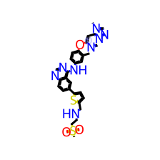 C=N/C(=C\c1nncn1C)Oc1ccc(Nc2ncnc3ccc(-c4ccc(CNCCS(C)(=O)=O)s4)cc23)cc1C